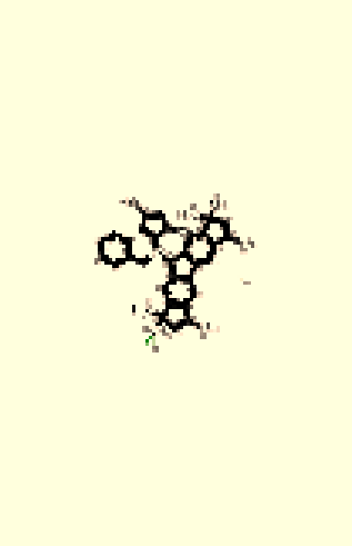 CC1C=C(C(C)(C)C)C=[C]1/[Zr+2](=[CH]\c1ccccc1)[CH]1c2cc3c(cc2-c2cc4c(cc21)C(C)(C)C=C4C(C)(C)C)C(C(C)(C)C)=CC3(C)C.[Cl-].[Cl-]